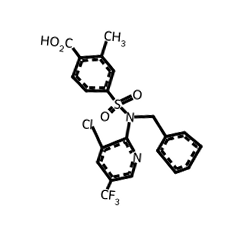 Cc1cc(S(=O)(=O)N(Cc2ccccc2)c2ncc(C(F)(F)F)cc2Cl)ccc1C(=O)O